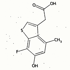 Cc1cc(O)c(F)c2scc(CC(=O)O)c12